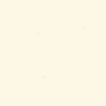 CC(C)(C)c1cc(CN2C(=O)COc3c(F)cc(CC4SC(=S)NC4=O)cc32)cc(C(C)(C)O)c1